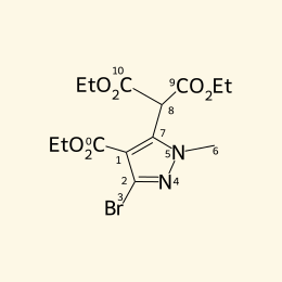 CCOC(=O)c1c(Br)nn(C)c1C(C(=O)OCC)C(=O)OCC